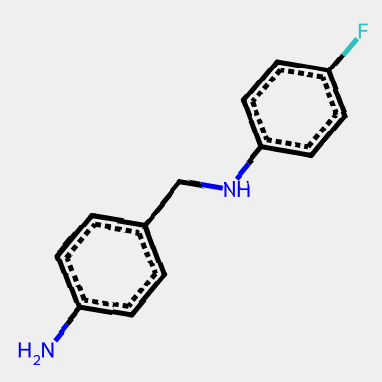 Nc1ccc(CNc2ccc(F)cc2)cc1